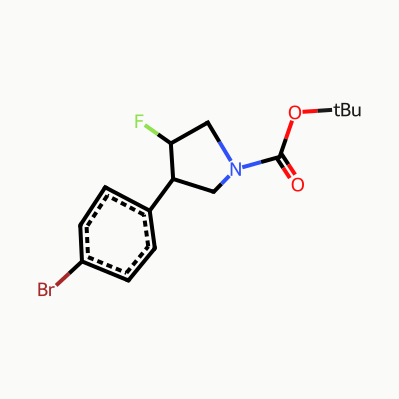 CC(C)(C)OC(=O)N1CC(F)C(c2ccc(Br)cc2)C1